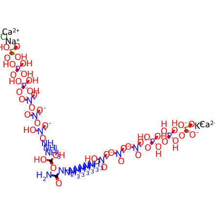 Cl.N.N.N.N.N.N.N.N.N.NC(N)=O.O=C(O)O.O=P(O)(O)O.O=P(O)(O)O.O=P(O)(O)O.O=P(O)(O)O.O=S(=O)(O)O.O=S(=O)([O-])[O-].O=[N+]([O-])O.O=[N+]([O-])O.O=[N+]([O-])[O-].O=[N+]([O-])[O-].O=[N+]([O-])[O-].O=[N+]([O-])[O-].[Ca+2].[Ca+2].[K+].[Na+]